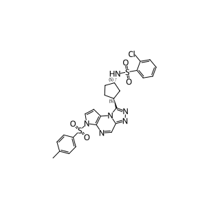 Cc1ccc(S(=O)(=O)n2ccc3c2ncc2nnc([C@H]4CC[C@H](NS(=O)(=O)c5ccccc5Cl)C4)n23)cc1